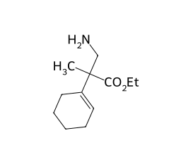 CCOC(=O)C(C)(CN)C1=CCCCC1